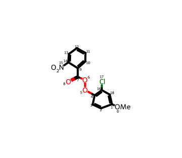 COc1ccc(OOC(=O)c2ccccc2[N+](=O)[O-])c(Cl)c1